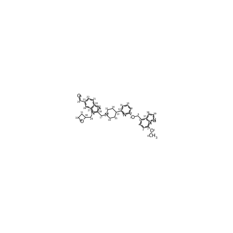 COc1ccc(COc2cccc(C3CCN(Cc4nc5ccc(C=O)cc5n4CC4CCO4)CC3)n2)c2ccnn12